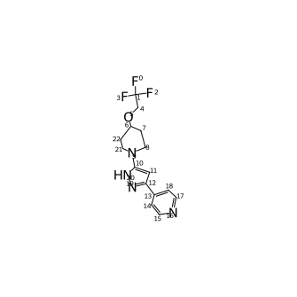 FC(F)(F)COC1CCN(c2cc(-c3ccncc3)n[nH]2)CC1